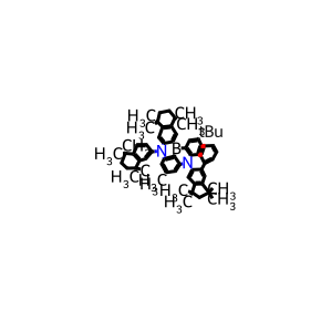 Cc1cc2c3c(c1)N(c1cc4c(cc1-c1ccccc1)C(C)(C)CC4(C)C)c1ccc(C(C)(C)C)cc1B3c1cc3c(cc1N2c1ccc2c(c1)C(C)(C)CCC2(C)C)C(C)(C)CCC3(C)C